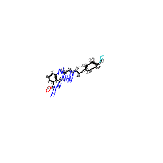 O=c1[nH]nc2c3c(cccc13)N=C(CNCCc1ccc(F)cc1)N2